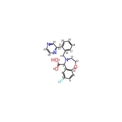 O=C(O)C1c2cc(F)ccc2OCCN1Cc1ccccc1-c1cnccn1